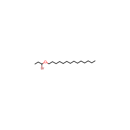 CCCCCCCCCCCCCCOC(Br)CC